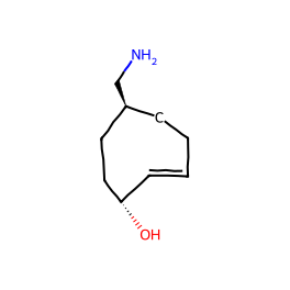 NC[C@H]1CC/C=C/[C@H](O)CC1